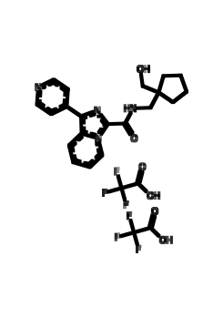 O=C(NCC1(CO)CCCC1)c1nc(-c2ccncc2)c2ccccn12.O=C(O)C(F)(F)F.O=C(O)C(F)(F)F